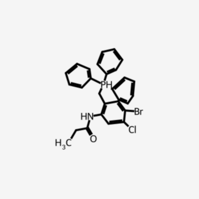 CCC(=O)Nc1cc(Cl)c(Br)cc1C[PH](c1ccccc1)(c1ccccc1)c1ccccc1